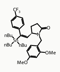 CCC[CH2][Sn]([CH2]CCC)([CH2]CCC)/[C](=C/[C@H]1CCC(=O)N1Cc1ccc(OC)cc1OC)c1ccc(C(F)(F)F)cc1